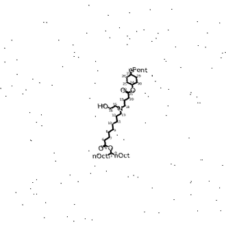 CCCCCCCCC(CCCCCCCC)OC(=O)CCCCCCCCN(CCO)CCCC(=O)OC1CCC(CCCCC)CC1